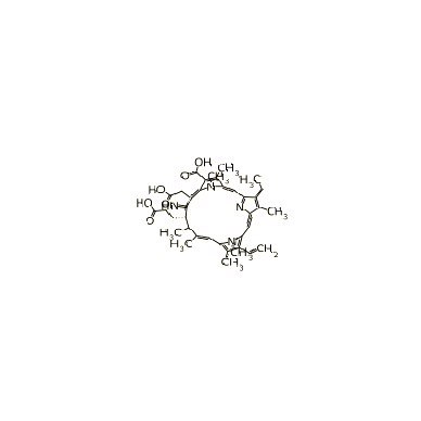 C=Cc1c(C)c2n(C)c1/C=C1N=C(/C=c3/c(C)c(C(=O)O)/c(n3C)=C(\CC(=O)O)C(=N)[C@@H](CCC(=O)O)C(C)/C(C)=C/2)C(CC)=C\1C